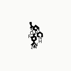 C#Cc1csc2c(N(C(=O)c3ccc(-c4cn(C)nn4)cc3F)[C@@H]3CCCNC3)nccc12